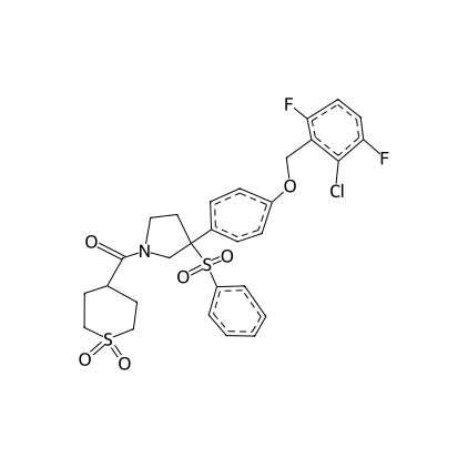 O=C(C1CCS(=O)(=O)CC1)N1CCC(c2ccc(OCc3c(F)ccc(F)c3Cl)cc2)(S(=O)(=O)c2ccccc2)C1